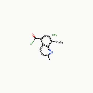 COc1ccc(C(=O)Cl)c2ccc(C)nc12.Cl